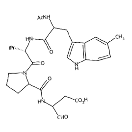 CC(=O)NC(Cc1c[nH]c2ccc(C)cc12)C(=O)N[C@H](C(=O)N1CCCC1C(=O)NC(C=O)CC(=O)O)C(C)C